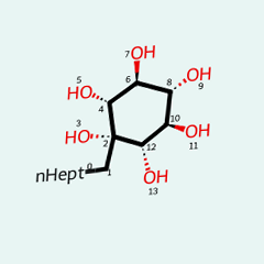 CCCCCCCC[C@@]1(O)[C@H](O)[C@@H](O)[C@H](O)[C@@H](O)[C@@H]1O